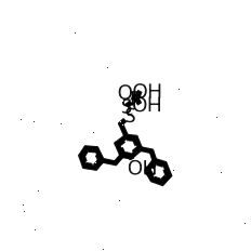 O=P(O)(O)SSCc1cc(Cc2ccccc2)c(O)c(Cc2ccccc2)c1